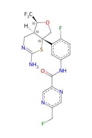 NC1=NC[C@H]2[C@@H](C(F)(F)F)OC[C@]2(c2cc(NC(=O)c3cnc(CF)cn3)ccc2F)S1